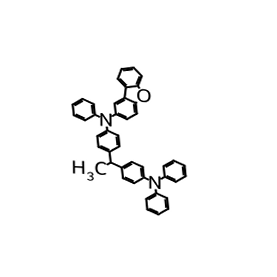 CC(c1ccc(N(c2ccccc2)c2ccccc2)cc1)c1ccc(N(c2ccccc2)c2ccc3oc4ccccc4c3c2)cc1